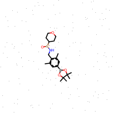 Cc1cc(B2OC(C)(C)C(C)(C)O2)cc(C)c1CN[S+]([O-])C1CCOCC1